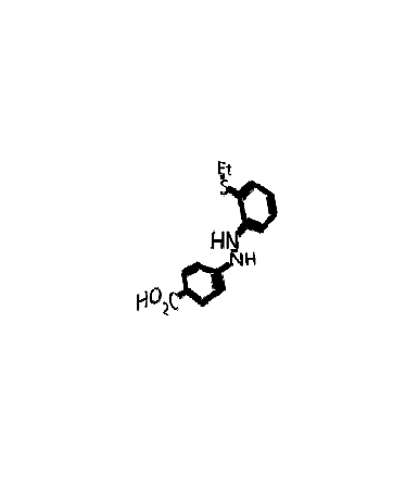 CCSc1ccccc1NNc1ccc(C(=O)O)cc1